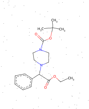 CCOC(=O)C(c1ccccc1)N1CCN(C(=O)OC(C)(C)C)CC1